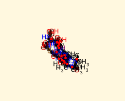 CC[C@H]1c2cc3[nH]c4c(c3C)C(=O)C(C(=O)OC)c4c3nc(cc4[nH]c(cc(n2)[C@@H]1C)c(C(C)=O)c4C)[C@@H](C)[C@@H]3CCC(=O)NCCC[C@H](NC(=O)CCPc1ccccc1)C(=O)NCCSSC[C@H](NC(=O)[C@H](CC(=O)NCCS(=O)(=O)O)NC(=O)CC[C@H](NC(=O)c1ccc(NCc2cnc3nc(N)[nH]c(=O)c3n2)cc1)C(=O)O)C(=O)O